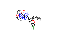 CCn1c(=O)c2[nH]c(/C=C/c3ccc(OC4CCC(F)(F)CC4)c(OC)c3)nc2n(CC)c1=O